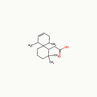 CC1C=CCC(C)C12CCCC(C)(C)C2CC(=O)O